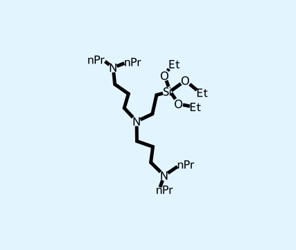 CCCN(CCC)CCCN(CCCN(CCC)CCC)CC[Si](OCC)(OCC)OCC